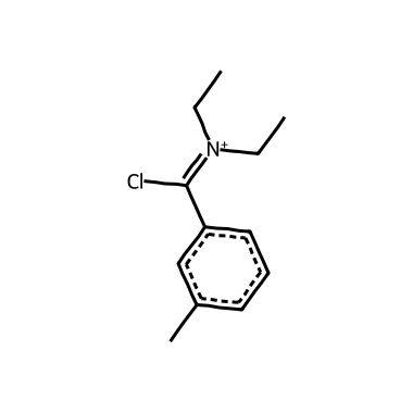 CC[N+](CC)=C(Cl)c1cccc(C)c1